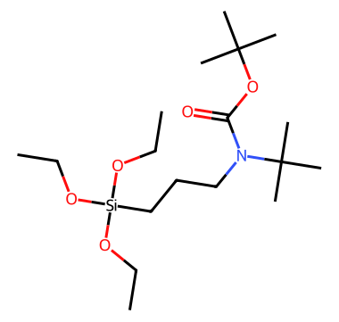 CCO[Si](CCCN(C(=O)OC(C)(C)C)C(C)(C)C)(OCC)OCC